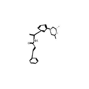 CC1CN(c2cccc(C(C)NC(=O)C=Cc3ccccc3)c2)C[C@H](C)O1